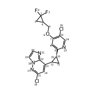 FC1(F)CC1COc1cc([C@H]2CC2c2cc(Cl)nn3ccnc23)ncc1Cl